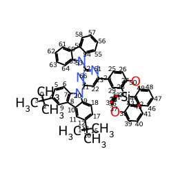 CC(C)(C)c1ccc2c(c1)c1cc(C(C)(C)C)ccc1n2-c1cc(-c2ccc3c(c2)[Si]2(c4ccccc4Oc4ccccc42)c2ccccc2O3)nc(-n2c3ccccc3c3ccccc32)n1